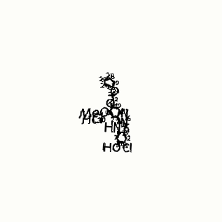 COc1cc2c(Nc3cc(O)c(Cl)cc3F)ncnc2cc1OCCOC1CCCC1.Cl